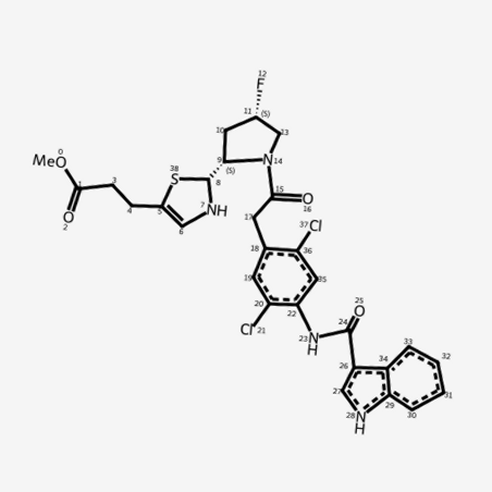 COC(=O)CCC1=CNC([C@@H]2C[C@H](F)CN2C(=O)Cc2cc(Cl)c(NC(=O)c3c[nH]c4ccccc34)cc2Cl)S1